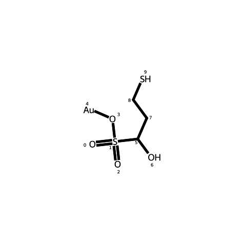 O=S(=O)([O][Au])C(O)CCS